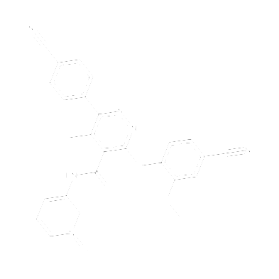 COc1cc(C#N)ccc1Oc1nnc(-c2ccc(C#N)cc2)c(C)c1C(=O)NC1=CC=C[N+](=O)C1